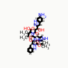 CC[C@H](C)[C@@H](C(=O)O)N(C(=O)CC(O)[C@@H](N)Cc1ccc(N)cc1)C(=O)[C@H](Cc1c[nH]cn1)NC(=O)[C@H](Cc1ccccc1)NC(=O)OC(C)(C)C